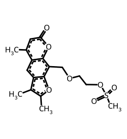 Cc1oc2c(COCCOS(C)(=O)=O)c3oc(=O)cc(C)c3cc2c1C